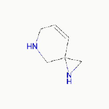 C1=CC2(CNC1)CN2